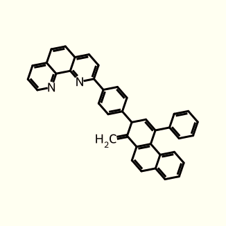 C=C1c2ccc3ccccc3c2C(c2ccccc2)=CC1c1ccc(-c2ccc3ccc4cccnc4c3n2)cc1